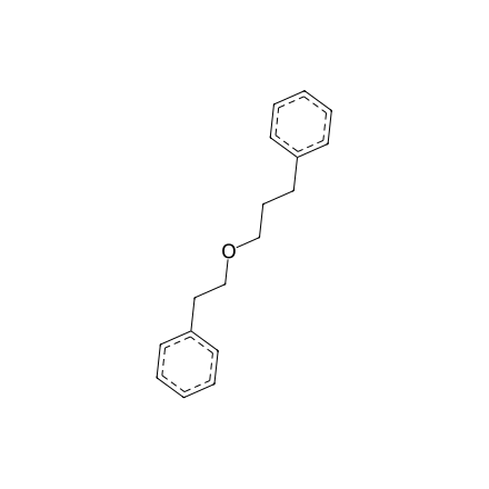 c1ccc(CCCOCCc2ccccc2)cc1